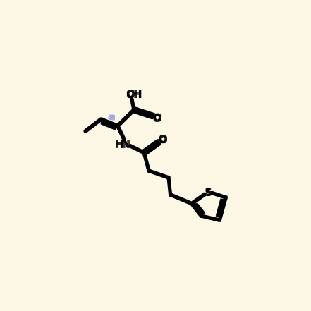 C/C=C(\NC(=O)CCCc1cccs1)C(=O)O